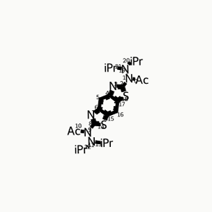 CC(=O)N(c1nc2cc3nc(N(C(C)=O)N(C(C)C)C(C)C)sc3cc2s1)N(C(C)C)C(C)C